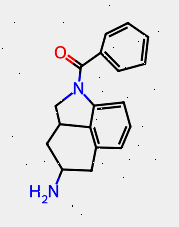 NC1Cc2cccc3c2C(C1)CN3C(=O)c1ccccc1